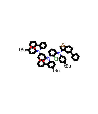 CC(C)(C)c1ccc(N(c2cccc(N(c3ccc(C(C)(C)C)cc3-c3ccccc3)c3cccc(N(c4ccc(C(C)(C)C)cc4)c4csc5ccc(-c6ccccc6)cc45)c3Cl)c2)c2ccccc2-c2ccccc2)cc1